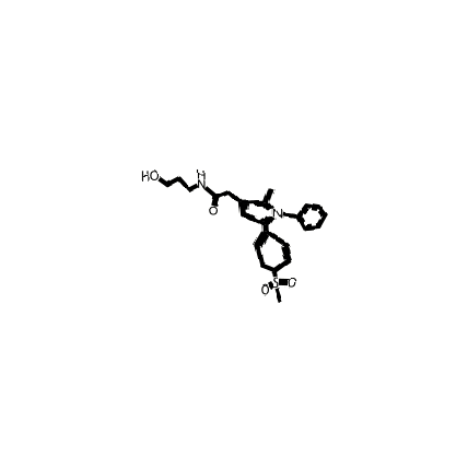 Cc1c(CC(=O)NCCCO)cc(C2=CCC(S(C)(=O)=O)C=C2)n1-c1ccccc1